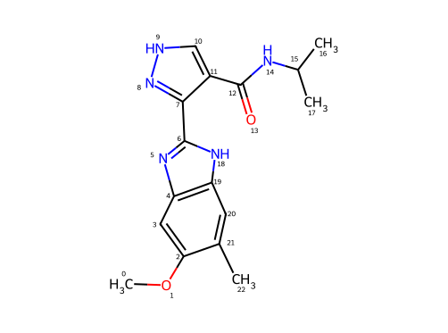 COc1cc2nc(-c3n[nH]cc3C(=O)NC(C)C)[nH]c2cc1C